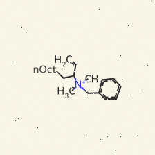 C=CC(CCCCCCCCC)[N+](C)(C)Cc1ccccc1